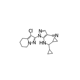 N#Cc1cnn(-c2nn3c(c2Cl)CCCC3)c1NC(C1CC1)C1CC1